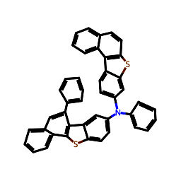 c1ccc(-c2cc3ccccc3c3sc4ccc(N(c5ccccc5)c5ccc6c(c5)sc5ccc7ccccc7c56)cc4c23)cc1